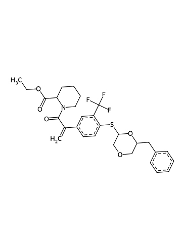 C=C(C(=O)N1CCCCC1C(=O)OCC)c1ccc(SC2COCC(Cc3ccccc3)O2)c(C(F)(F)F)c1